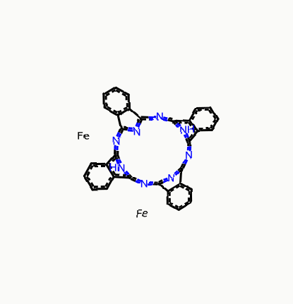 [Fe].[Fe].c1ccc2c(c1)-c1nc-2nc2[nH]c(nc3nc(nc4[nH]c(n1)c1ccccc41)-c1ccccc1-3)c1ccccc21